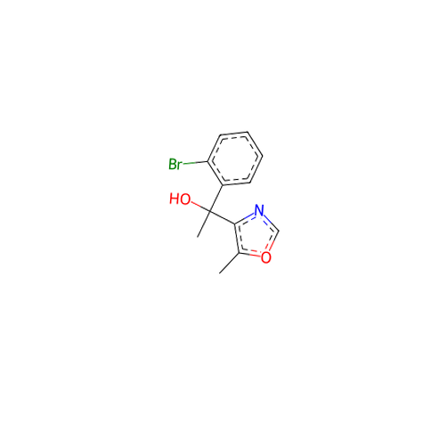 Cc1ocnc1C(C)(O)c1ccccc1Br